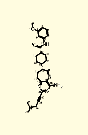 COc1cccc(NC(=O)[C@H]2CC[C@@H](C3C=Nc4c(N)nc(C#CCN(C)C)nc4CC3)CC2)c1